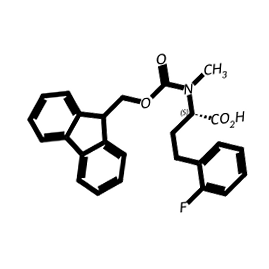 CN(C(=O)OCC1c2ccccc2-c2ccccc21)[C@@H](CCc1ccccc1F)C(=O)O